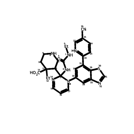 CCNC(=O)NC1(C2CNCCC2(CC)C(=O)O)N=CC=CN1c1cc(-c2ccc(C#N)cn2)c2scnc2c1